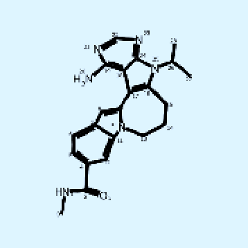 CNC(=O)c1ccc2cc3n(c2c1)CCCc1c-3c2c(N)ncnc2n1C(C)C